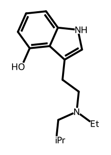 CCN(CCc1c[nH]c2cccc(O)c12)CC(C)C